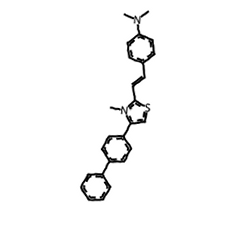 CN(C)c1ccc(/C=C/c2scc(-c3ccc(-c4ccccc4)cc3)[n+]2C)cc1